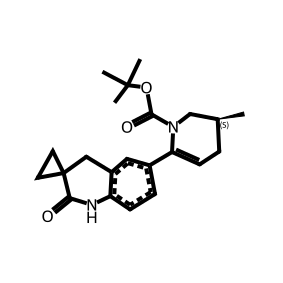 C[C@H]1CC=C(c2ccc3c(c2)CC2(CC2)C(=O)N3)N(C(=O)OC(C)(C)C)C1